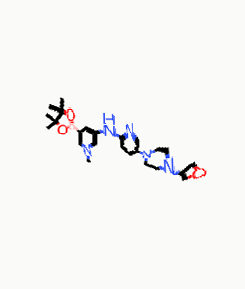 CN1C=C(B2OC(C)(C)C(C)(C)O2)C=C(Nc2ccc(N3CCN(C4COC4)CC3)cn2)C1